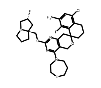 Nc1cc(Cl)c2c(c1F)C1(CCC2)Cc2nc(OC[C@@]34CCCN3C[C@H](F)C4)nc(N3CCCOCC3)c2CO1